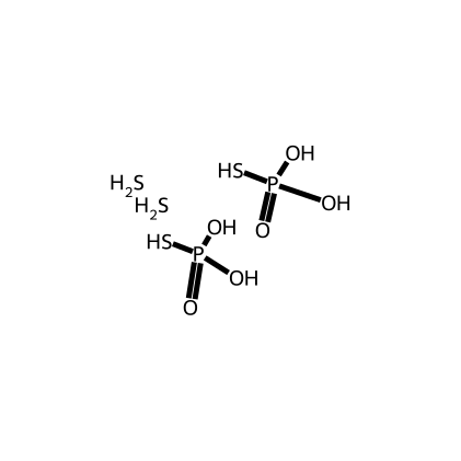 O=P(O)(O)S.O=P(O)(O)S.S.S